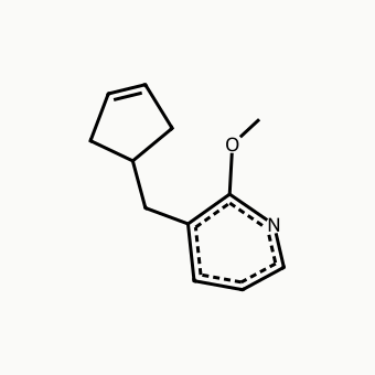 COc1ncccc1CC1CC=CC1